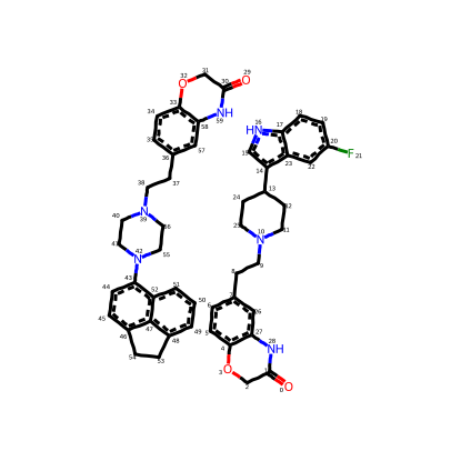 O=C1COc2ccc(CCN3CCC(c4c[nH]c5ccc(F)cc45)CC3)cc2N1.O=C1COc2ccc(CCN3CCN(c4ccc5c6c(cccc46)CC5)CC3)cc2N1